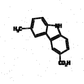 Cc1ccc2[nH]c3ccc(C(=O)O)cc3c2c1